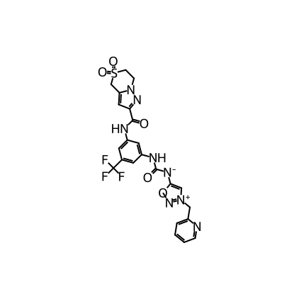 O=C([N-]c1c[n+](Cc2ccccn2)no1)Nc1cc(NC(=O)c2cc3n(n2)CCS(=O)(=O)C3)cc(C(F)(F)F)c1